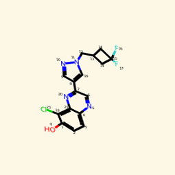 Oc1ccc2ncc(-c3cnn(CC4CC(F)(F)C4)c3)nc2c1Cl